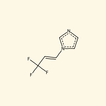 FC(F)(F)C=Cn1ccnc1